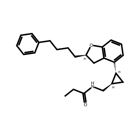 CCC(=O)NC[C@@H]1C[C@H]1c1cccc2c1C[C@@H](CCCCc1ccccc1)O2